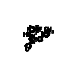 Cc1nccc(C2CCN(c3nc(Nc4cc(C(F)(F)F)ccn4)cc(C4CCOCC4)n3)C2)n1